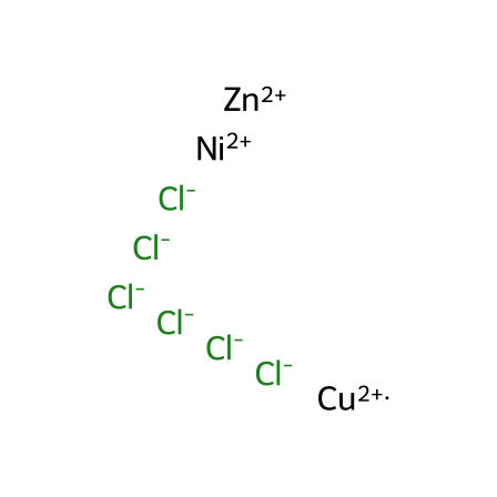 [Cl-].[Cl-].[Cl-].[Cl-].[Cl-].[Cl-].[Cu+2].[Ni+2].[Zn+2]